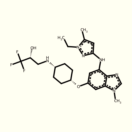 CCn1nc(Nc2cc(O[C@H]3CC[C@@H](NC[C@@H](O)C(F)(F)F)CC3)cc3c2ncn3C)cc1C